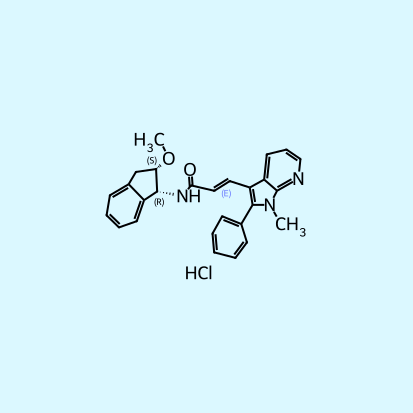 CO[C@H]1Cc2ccccc2[C@H]1NC(=O)/C=C/c1c(-c2ccccc2)n(C)c2ncccc12.Cl